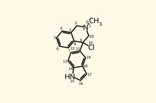 CN1Cc2ccccc2C(Cl)(c2ccc3[nH]ccc3c2)C1